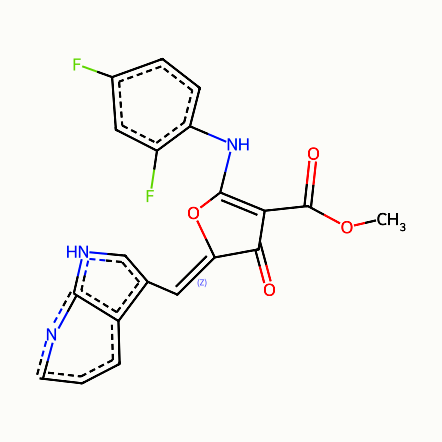 COC(=O)C1=C(Nc2ccc(F)cc2F)O/C(=C\c2c[nH]c3ncccc23)C1=O